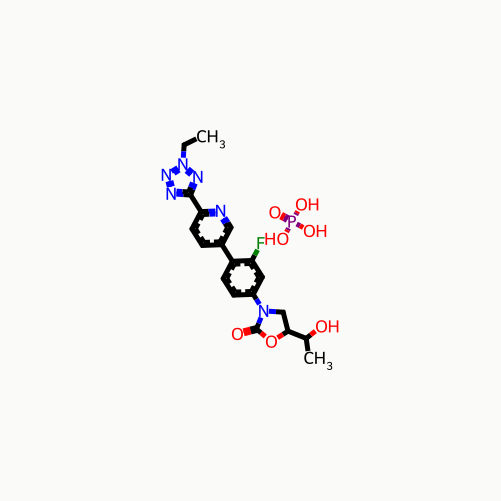 CCn1nnc(-c2ccc(-c3ccc(N4CC(C(C)O)OC4=O)cc3F)cn2)n1.O=P(O)(O)O